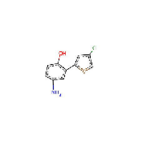 Nc1ccc(O)c(-c2cc(Cl)cs2)c1